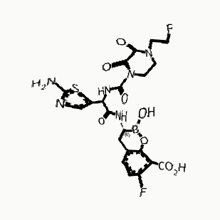 Nc1ncc(C(NC(=O)N2CCN(CCF)C(=O)C2=O)C(=O)N[C@H]2Cc3ccc(F)c(C(=O)O)c3OB2O)s1